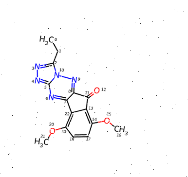 CCc1nnc2nc3c(nn12)C(=O)c1c(OC)ccc(OC)c1-3